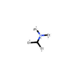 CCC(CC)N(CC)C(C)C